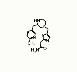 Cc1ccc(CC2CN(Cc3cnc(CC(N)=O)s3)CCN2)cn1